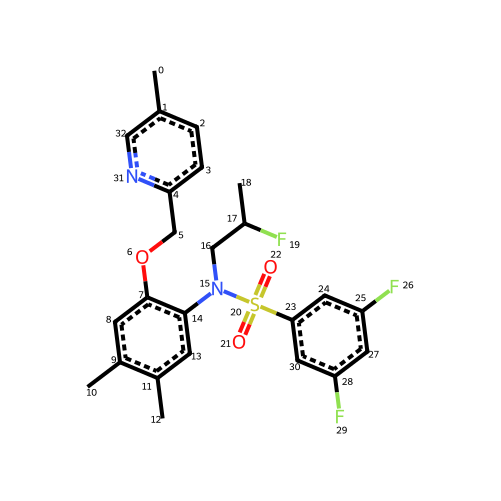 Cc1ccc(COc2cc(C)c(C)cc2N(CC(C)F)S(=O)(=O)c2cc(F)cc(F)c2)nc1